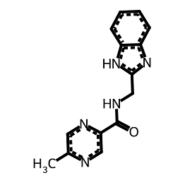 Cc1cnc(C(=O)NCc2nc3ccccc3[nH]2)cn1